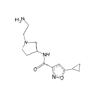 NCCN1CCC(NC(=O)c2cc(C3CC3)on2)C1